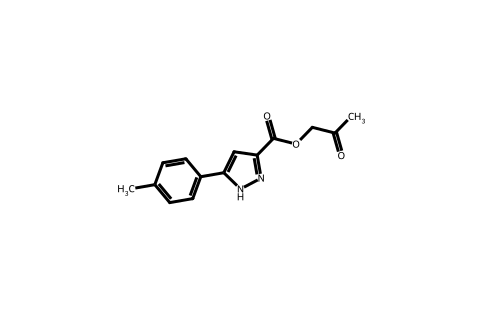 CC(=O)COC(=O)c1cc(-c2ccc(C)cc2)[nH]n1